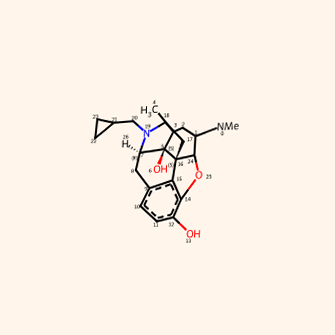 CNC1CC(C)[C@@]2(O)[C@H]3Cc4ccc(O)c5c4[C@@]2(CCN3CC2CC2)C1O5